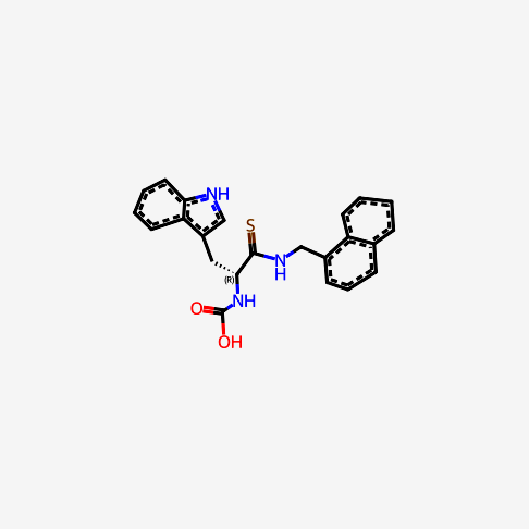 O=C(O)N[C@H](Cc1c[nH]c2ccccc12)C(=S)NCc1cccc2ccccc12